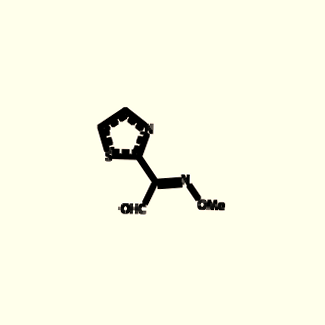 CON=C([C]=O)c1nccs1